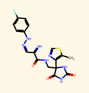 Cc1scnc1C1(CNC(=O)C(=N)/C=N\Nc2ccc(F)cc2)NC(=O)NC1=O